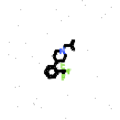 C[C](C)CN1CC=C(c2ccccc2C(F)(F)F)CC1